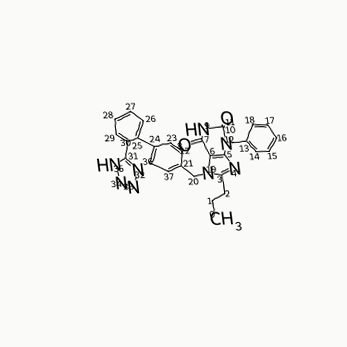 CCCc1nc2c(c(=O)[nH]c(=O)n2-c2ccccc2)n1Cc1ccc(-c2ccccc2-c2nnn[nH]2)cc1